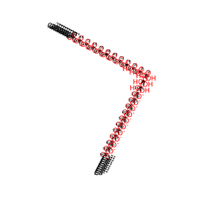 O=C(O)O.O=C(O)O.O=C(O)O.O=C(O)O.O=C(O)O.O=C([O-])[O-].O=C([O-])[O-].O=C([O-])[O-].O=C([O-])[O-].O=C([O-])[O-].O=C([O-])[O-].O=C([O-])[O-].O=C([O-])[O-].O=C([O-])[O-].O=C([O-])[O-].O=C([O-])[O-].O=C([O-])[O-].O=C([O-])[O-].O=C([O-])[O-].O=C([O-])[O-].O=C([O-])[O-].O=C([O-])[O-].O=C([O-])[O-].O=C([O-])[O-].O=C([O-])[O-].[Ca+2].[Ca+2].[Ca+2].[Ca+2].[Ca+2].[Ca+2].[Ca+2].[Ca+2].[Ca+2].[Ca+2].[Ca+2].[Ca+2].[Ca+2].[Ca+2].[Ca+2].[Ca+2].[Ca+2].[Ca+2].[Ca+2].[Ca+2]